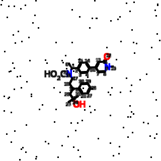 C[C@@H](c1ccc(-c2ccn(C)c(=O)c2)cc1)N(CCC(CC(C)(C)O)c1ccccc1)C(=O)O